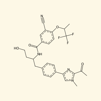 CC(=O)c1nc(-c2ccc(CC(CCO)NC(=O)c3ccc(OC(C)C(F)(F)F)c(C#N)c3)cc2)cn1C